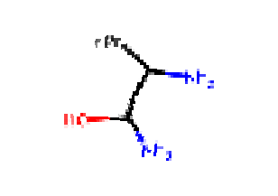 CCCC(N)C(N)O